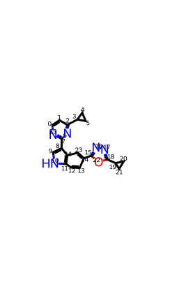 c1cc(C2CC2)nc(-c2c[nH]c3ccc(-c4nnc(C5CC5)o4)cc23)n1